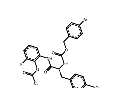 CCC(=O)Oc1c(F)cccc1NC(=O)[C@H](Cc1ccc([N+](=O)[O-])cc1)NC(=O)OCc1ccc(Br)cc1